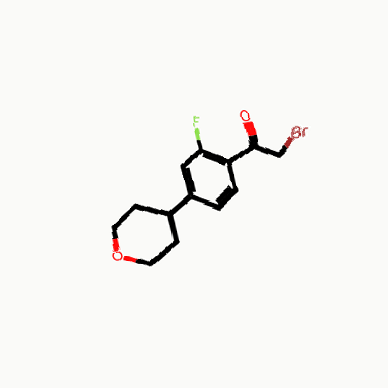 O=C(CBr)c1ccc(C2CCOCC2)cc1F